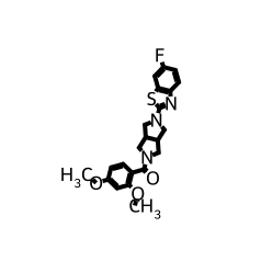 COc1ccc(C(=O)N2CC3CN(c4nc5ccc(F)cc5s4)CC3C2)c(OC)c1